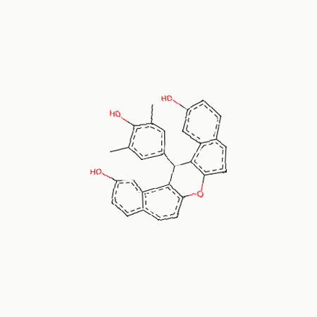 Cc1cc(C2c3c(ccc4ccc(O)cc34)Oc3ccc4ccc(O)cc4c32)cc(C)c1O